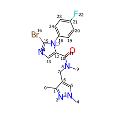 Cc1nn(C)cc1CN(C)C(=O)c1cnc(Br)n1-c1ccc(F)cc1